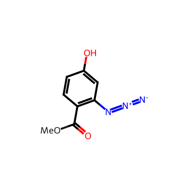 COC(=O)c1ccc(O)cc1N=[N+]=[N-]